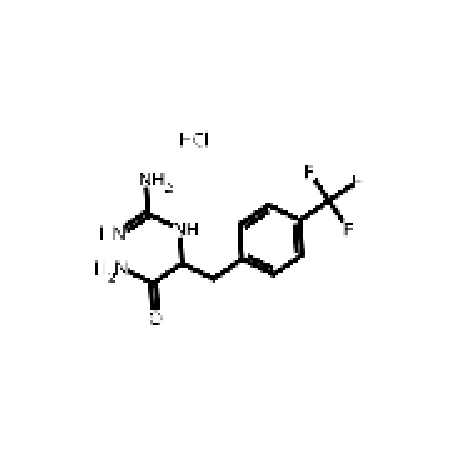 Cl.N=C(N)NC(Cc1ccc(C(F)(F)F)cc1)C(N)=O